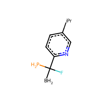 BC(F)(P)c1ccc(C(C)C)cn1